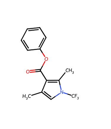 Cc1cn(C(F)(F)F)c(C)c1C(=O)Oc1ccccc1